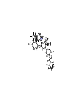 Cc1ccc(-c2cc(-c3ccc(OCCCC(F)(F)F)cc3)[nH]c(=O)c2/C(=N/N)NN)cc1